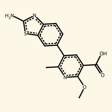 COc1nc(C)c(-c2ccc3nc(N)sc3c2)cc1C(=O)O